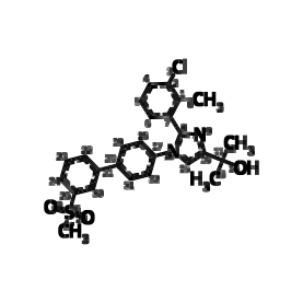 Cc1c(Cl)cccc1-c1nc(C(C)(C)O)cn1-c1ccc(-c2cccc(S(C)(=O)=O)c2)cc1